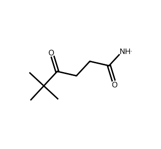 CC(C)(C)C(=O)CCC([NH])=O